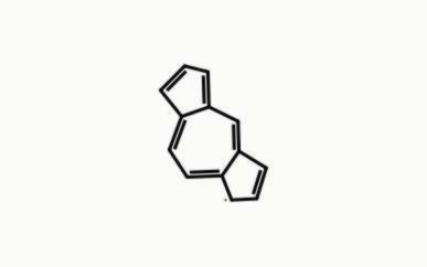 [CH]1C=Cc2cc3cccc-3ccc21